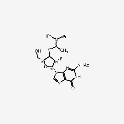 CC(=O)Nc1nc2c(ncn2[C@@H]2O[C@H](CO)C(OP(C)N(C(C)C)C(C)C)[C@@H]2F)c(=O)[nH]1